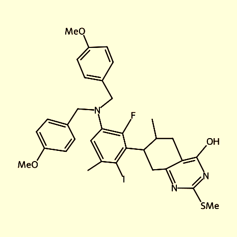 COc1ccc(CN(Cc2ccc(OC)cc2)c2cc(C)c(I)c(C3Cc4nc(SC)nc(O)c4CC3C)c2F)cc1